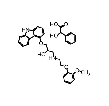 COc1ccccc1OCCNCC(O)COc1cccc2[nH]c3ccccc3c12.O=C(O)C(O)c1ccccc1